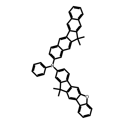 CC1(C)c2cc3ccccc3cc2-c2cc3ccc(N(c4ccccc4)c4ccc5c(c4)C(C)(C)c4cc6c(cc4-5)oc4ccccc46)cc3cc21